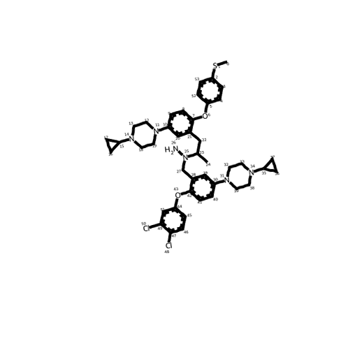 CSc1ccc(Oc2ccc(N3CCN(C4CC4)CC3)cc2CC(C)N(N)Cc2cc(N3CCN(C4CC4)CC3)ccc2Oc2ccc(Cl)c(Cl)c2)cc1